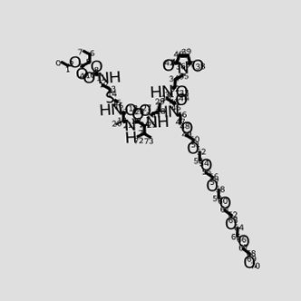 CCOC(=O)C(CC)OC(=O)NCCSCNC(=O)[C@H](C)NC(=O)[C@@H](NC(=O)CC[C@H](NC(=O)CCN1C(=O)C=CC1=O)C(=O)NCCOCCOCCOCCOCCOCCOCCOCCOC)C(C)C